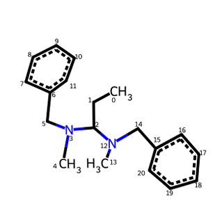 CCC(N(C)Cc1ccccc1)N(C)Cc1ccccc1